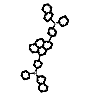 c1ccc(N(c2ccc(-c3cc4ccc(-c5ccc(N(c6ccccc6)c6ccc7ccccc7c6)cc5)c5ccc6cccc3c6c45)cc2)c2ccc3ccccc3c2)cc1